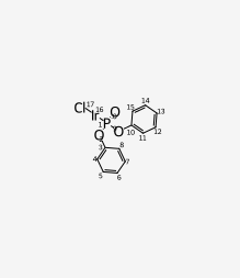 O=[P](Oc1ccccc1)(Oc1ccccc1)[Ir][Cl]